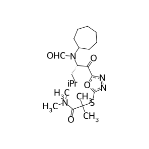 CC(C)C[C@@H](C(=O)c1nnc(SC(C)(C)C(=O)N(C)C)o1)N(C=O)C1CCCCCC1